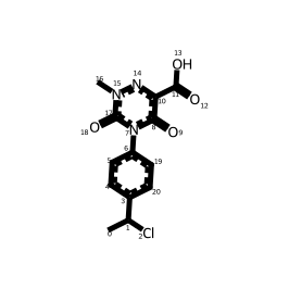 CC(Cl)c1ccc(-n2c(=O)c(C(=O)O)nn(C)c2=O)cc1